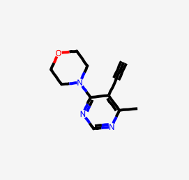 C#Cc1c(C)ncnc1N1CCOCC1